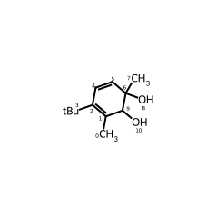 CC1=C(C(C)(C)C)C=CC(C)(O)C1O